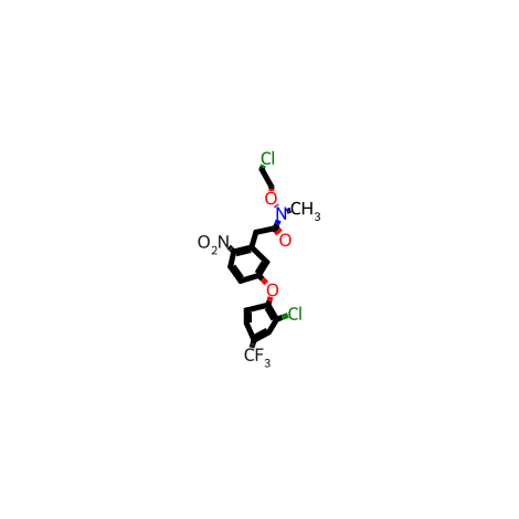 CN(OCCCl)C(=O)Cc1cc(Oc2ccc(C(F)(F)F)cc2Cl)ccc1[N+](=O)[O-]